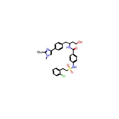 Cn1cc(-c2ccc(CC(CCO)NC(=O)c3ccc(NS(=O)(=O)CCc4ccccc4Cl)cc3)cc2)nc1C(C)(C)C